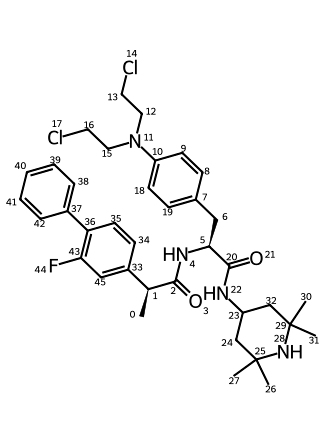 C[C@H](C(=O)N[C@@H](Cc1ccc(N(CCCl)CCCl)cc1)C(=O)NC1CC(C)(C)NC(C)(C)C1)c1ccc(-c2ccccc2)c(F)c1